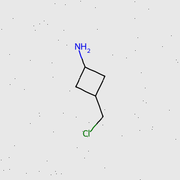 NC1CC(CCl)C1